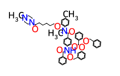 Cc1ccc(N(C)C(=O)c2ccc(NC(=O)c3ccccc3OCc3ccccc3)c(OC(=O)c3ccccc3OCc3ccccc3)c2)c(OCCCCCC(=O)N2CCN(C)CC2)c1